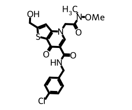 CON(C)C(=O)Cn1cc(C(=O)NCc2ccc(Cl)cc2)c(=O)c2sc(CO)cc21